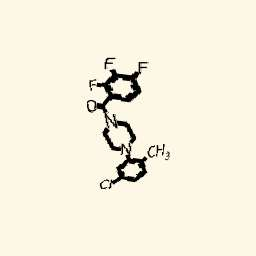 Cc1ccc(Cl)cc1N1CCN(C(=O)c2ccc(F)c(F)c2F)CC1